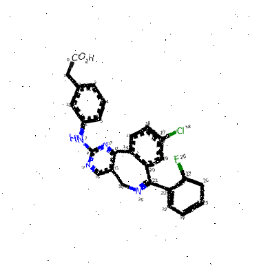 O=C(O)Cc1cccc(Nc2ncc3c(n2)-c2ccc(Cl)cc2C(C2=CC=CCC2F)=NC3)c1